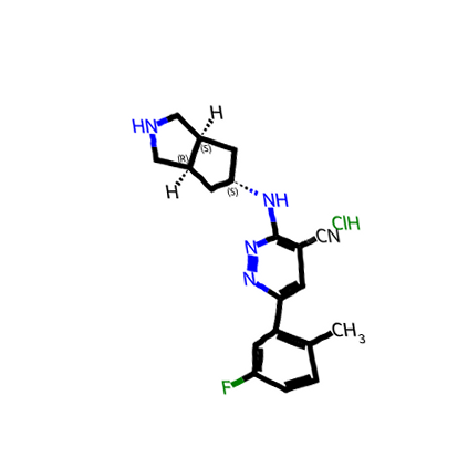 Cc1ccc(F)cc1-c1cc(C#N)c(N[C@@H]2C[C@H]3CNC[C@H]3C2)nn1.Cl